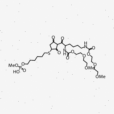 COCCOCCOC(=O)NCCCCC(NC(=O)OCCOCCOC)C(=O)C1C(=O)CC(SCCCCCCOP(=O)(O)OC)C1=O